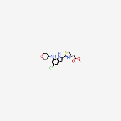 COC(=O)C[C@@H]1CSC(c2cc3cc(Cl)cc(NC4CCOCC4)c3[nH]2)=N1